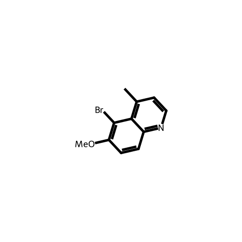 COc1ccc2nccc(C)c2c1Br